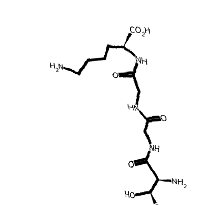 C[C@@H](O)[C@H](N)C(=O)NCC(=O)NCC(=O)N[C@@H](CCCCN)C(=O)O